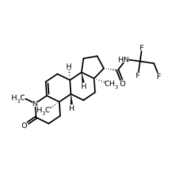 CN1C(=O)CC[C@@]2(C)C1=CC[C@H]1[C@@H]3CC[C@H](C(=O)NC(F)(F)CF)[C@@]3(C)CC[C@@H]12